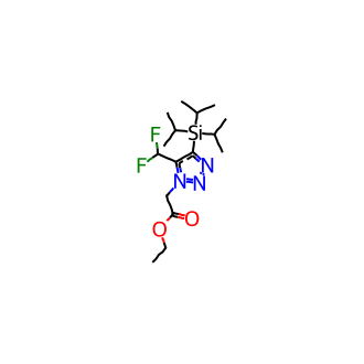 CCOC(=O)Cn1nnc([Si](C(C)C)(C(C)C)C(C)C)c1C(F)F